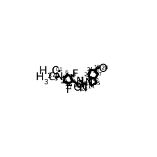 CCN(CC)c1cc(F)c(-c2nc(N3CCc4cc(C=O)ccc43)no2)c(F)c1